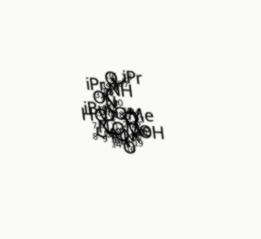 CC[C@H](C)[C@@H]([C@@H](CC(O)N1CCC[C@H]1[C@H](OC)[C@@H](C)C(=O)N[C@H](C)[C@@H](O)c1ccccc1)OC)N(C)C(=O)[C@@H](NC(=O)CC(C)C)C(C)C